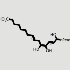 CCCCCC(O)/C=C/C(O)=C(/O)C/C=C/CCCCCCC(=O)O